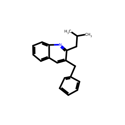 CC(C)Cc1nc2ccccc2cc1Cc1ccccc1